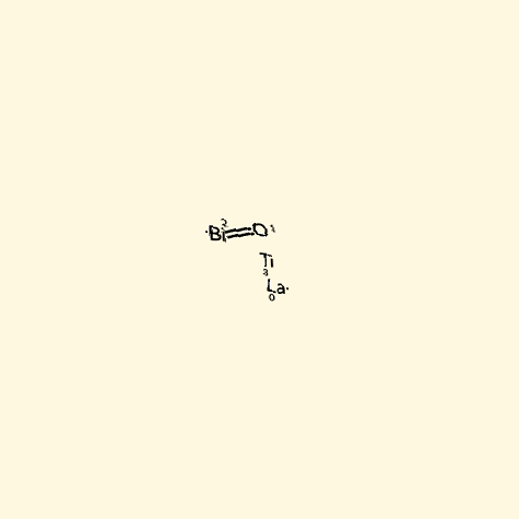 [La].[O]=[Bi].[Ti]